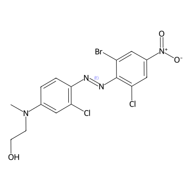 CN(CCO)c1ccc(/N=N/c2c(Cl)cc([N+](=O)[O-])cc2Br)c(Cl)c1